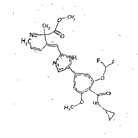 C/C=C\C(=C/c1ncc(-c2cc(OC)c(C(=O)NC3CC3)c(OC(F)F)c2)[nH]1)C(C)(C#N)C(=O)OC